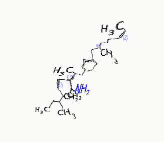 C=C(N)C(/C=C\C(=C)C(CC)CC)=C(/C)Cc1ccc(C/C(C)=C/CC/C=C\C)cc1